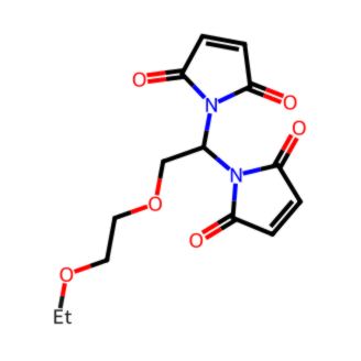 CCOCCOCC(N1C(=O)C=CC1=O)N1C(=O)C=CC1=O